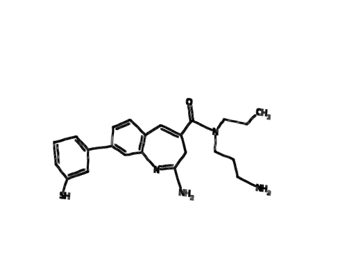 CCCN(CCCN)C(=O)C1=Cc2ccc(-c3cccc(S)c3)cc2N=C(N)C1